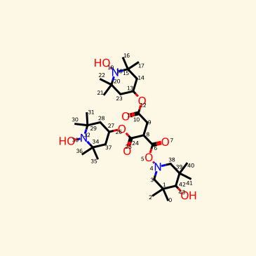 CC1(C)CN(OC(=O)C(CC(=O)OC2CC(C)(C)N(O)C(C)(C)C2)C(=O)OC2CC(C)(C)N(O)C(C)(C)C2)CC(C)(C)C1O